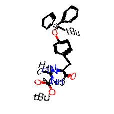 COC(=O)[C@H](Cc1ccc(O[Si](c2ccccc2)(c2ccccc2)C(C)(C)C)cc1)NC(C)NC(=O)OC(C)(C)C